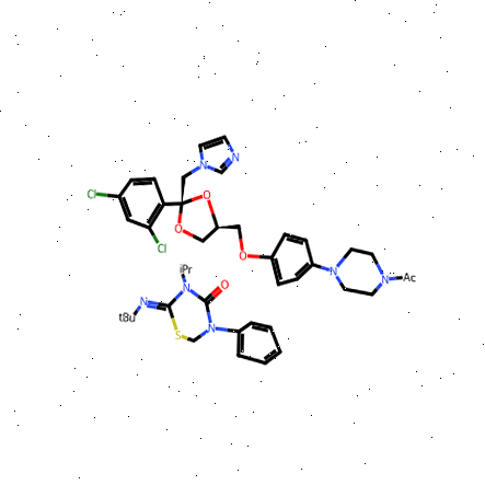 CC(=O)N1CCN(c2ccc(OC[C@H]3CO[C@](Cn4ccnc4)(c4ccc(Cl)cc4Cl)O3)cc2)CC1.CC(C)N1C(=O)N(c2ccccc2)CS/C1=N\C(C)(C)C